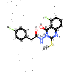 CC(C)Sc1nc2cccc(F)c2c(=O)n1NC(=O)Cc1ccc(F)cc1